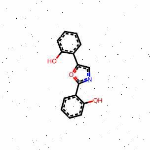 Oc1ccccc1-c1cnc(-c2ccccc2O)o1